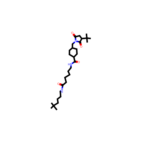 CC(C)(C)CCCCNC(=O)CCCCCNC(=O)C1CCC(CN2C(=O)CC(C(C)(C)C)C2=O)CC1